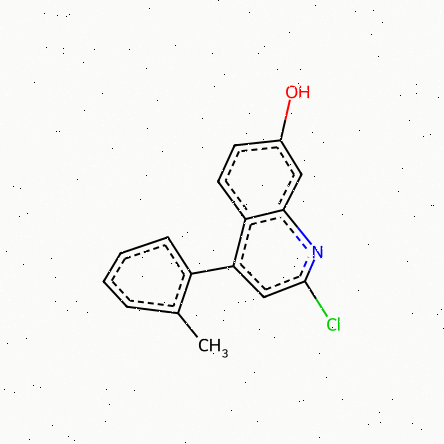 Cc1ccccc1-c1cc(Cl)nc2cc(O)ccc12